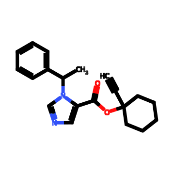 C#CC1(OC(=O)c2cncn2C(C)c2ccccc2)CCCCC1